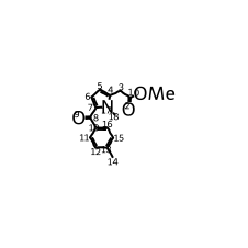 COC(=O)Cc1ccc(C(=O)c2ccc(C)cc2)n1C